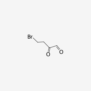 O=CC(=O)CCBr